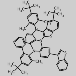 Cc1cc(C(C)(C)C)cc(C)c1N1c2cccc3c2B(c2cc(-c4csc5ccccc45)ccc2N3c2c(C)cc(C(C)(C)C)cc2-c2ccccc2)c2sc3ccc(C(C)(C)C)cc3c21